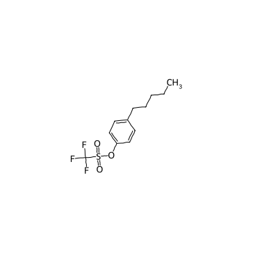 CCCCCc1ccc(OS(=O)(=O)C(F)(F)F)cc1